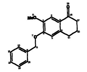 COc1cc2c(cc1OCc1ccccc1)CCCC2=O